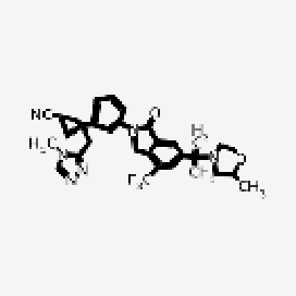 CC1CN(C(C)(C)c2cc3c(c(C(F)(F)F)c2)CN(c2cccc(C4(Cc5nncn5C)CC(C#N)C4)c2)C3=O)CCO1